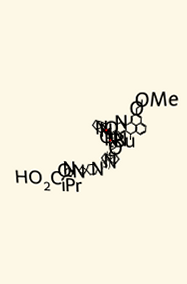 COCOc1cc2c3c(cccc3c1)C(C)c1c-2ncc2c(N3CC4CCC(C3)N4C(=O)OC(C)(C)C)nc(OC[C@@]34CCCN3[C@H](CN3CCC5(CC3)CN(c3cc(C(C(=O)O)C(C)C)on3)C5)CC4)nc12